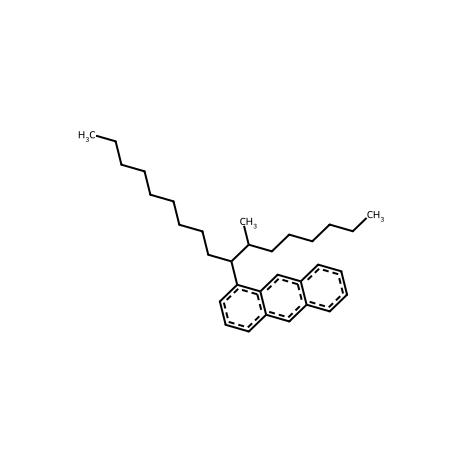 CCCCCCCCCC(c1cccc2cc3ccccc3cc12)C(C)CCCCCC